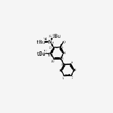 Cc1cc(-c2ccccc2)cc(C(C)(C)C)c1N(C(C)(C)C)C(C)(C)C